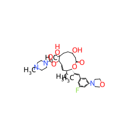 C/C(=C\c1cc(F)cc(N2CCOCC2)c1)[C@H]1OC(=O)C[C@H](O)CC[C@@](C)(O)[C@H](OC(=O)N2CCN(C)CC2)/C=C/[C@@H]1C